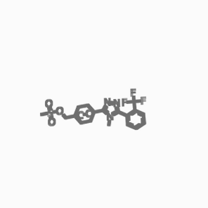 Cn1c(-c2ccccc2C(F)(F)F)nnc1C12CCC(COS(C)(=O)=O)(CC1)CC2